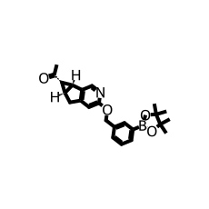 CC(=O)[C@H]1[C@@H]2Cc3cc(OCc4cccc(B5OC(C)(C)C(C)(C)O5)c4)ncc3[C@@H]21